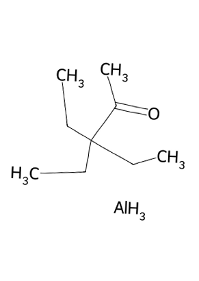 CCC(CC)(CC)C(C)=O.[AlH3]